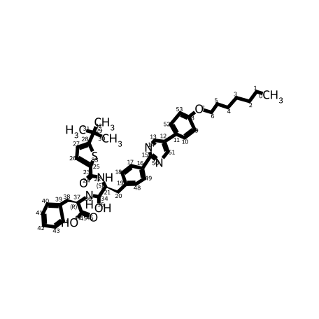 CCCCCCCOc1ccc(-c2cnc(-c3ccc(C[C@H](NC(=O)c4ccc(C(C)(C)C)s4)C(O)N[C@H](Cc4ccccc4)C(=O)O)cc3)nc2)cc1